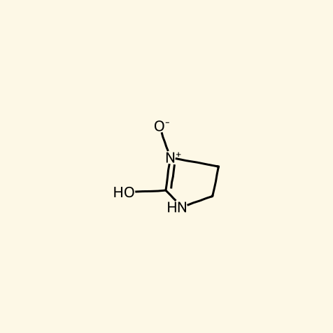 [O-][N+]1=C(O)NCC1